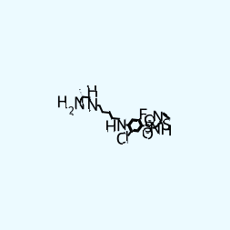 C[C@@H](N)CNCCCCCNc1cc(F)c(S(=O)(=O)Nc2nccs2)cc1Cl